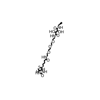 C#CCNC(=O)[C@H](O)[C@@H](O)C(=O)NCCOCCOCCOCCNC(=O)CCCC[C@@H]1SC[C@@H]2NC(=O)N[C@@H]21